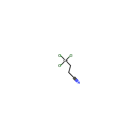 N#CC[CH2][Ge]([Cl])([Cl])[Cl]